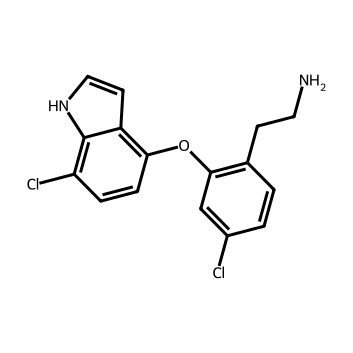 NCCc1ccc(Cl)cc1Oc1ccc(Cl)c2[nH]ccc12